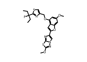 CCC(F)(CC)c1nc(COc2cc(OC)cc3oc(-c4cn5nc(OC)sc5n4)cc23)cs1